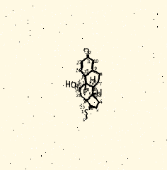 CS[C@@H]1CC[C@H]2[C@@H]3CCC4=CC(=O)C=C[C@]4(C)C3(F)[C@@H](O)C[C@]12C